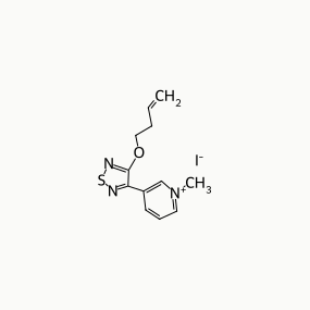 C=CCCOc1nsnc1-c1ccc[n+](C)c1.[I-]